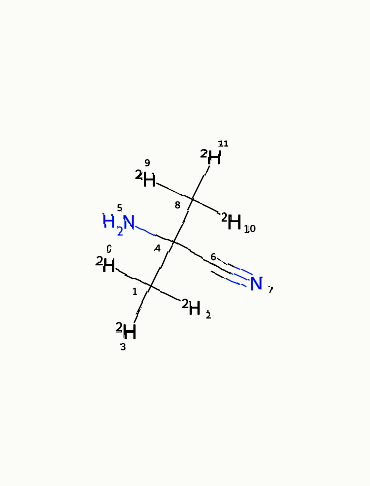 [2H]C([2H])([2H])C(N)(C#N)C([2H])([2H])[2H]